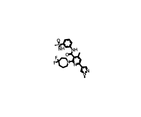 Cc1cc(-c2cnn(C)c2)nc(N2CCCC(F)(F)CC2)c1C(=O)Nc1cccc([S@](C)(=N)=O)c1